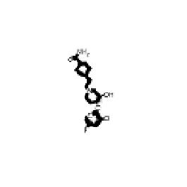 NC(=O)C1CCC(CCN2CC[C@@H](Oc3ccc(F)cc3Cl)[C@H](O)C2)CC1